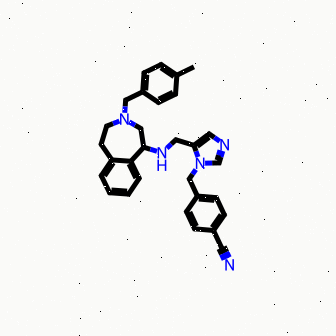 Cc1ccc(CN2CCc3ccccc3C(NCc3cncn3Cc3ccc(C#N)cc3)C2)cc1